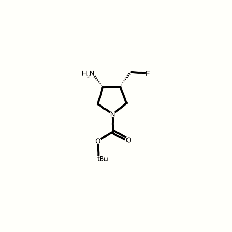 CC(C)(C)OC(=O)N1C[C@@H](CF)[C@@H](N)C1